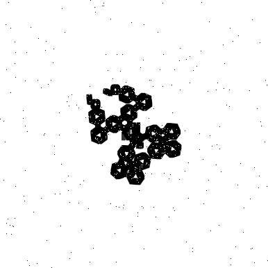 CCOc1ccc(-c2ccccc2-c2ccc3c4ccc(-c5ccccc5-c5ccc(OCC)cc5)cc4c4nc5c(-c6ccc7c(c6)C(c6ccccc6)(c6ccccc6)c6ccccc6-7)sc(-c6ccc7c(c6)C(c6ccccc6)(c6ccccc6)c6ccccc6-7)c5nc4c3c2)cc1